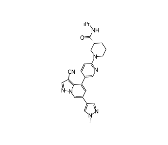 CC(C)NC(=O)[C@@H]1CCCN(c2ccc(-c3cc(-c4cnn(C)c4)cn4ncc(C#N)c34)cn2)C1